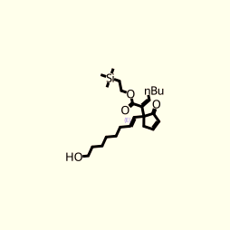 CCCCC=C(C(=O)OCC[Si](C)(C)C)C1(/C=C/CCCCCCO)CC=CC1=O